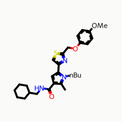 CCCCn1c(-c2csc(COc3ccc(OC)cc3)n2)cc(C(=O)NCC2CCCCC2)c1C